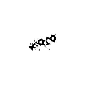 Cn1c(=O)n(Cc2ccccc2)c2ccc(S(=O)(=O)NC3(C)CC3)cc21